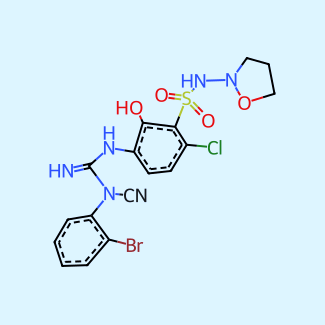 N#CN(C(=N)Nc1ccc(Cl)c(S(=O)(=O)NN2CCCO2)c1O)c1ccccc1Br